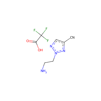 N#Cc1cnn(CCN)n1.O=C(O)C(F)(F)F